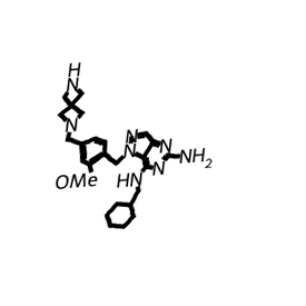 COc1cc(CN2CC3(CNC3)C2)ccc1Cn1ncc2nc(N)nc(NCC3CCCCC3)c21